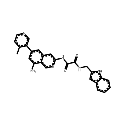 Cc1ccncc1-c1cc(N)c2cnc(NC(=O)C(=O)NCc3cc4ccccc4[nH]3)cc2c1